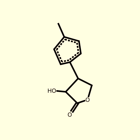 Cc1ccc(C2COC(=O)C2O)cc1